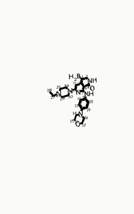 Bc1c[nH]c(=O)c2c(Nc3ccc(N4CCOCC4)cc3)nc(N3CCN(CC)CC3)cc12